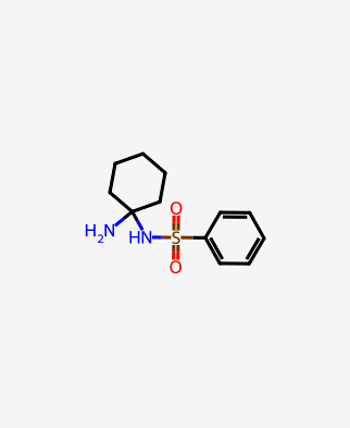 NC1(NS(=O)(=O)c2ccccc2)CCCCC1